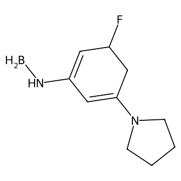 BNC1=CC(F)CC(N2CCCC2)=C1